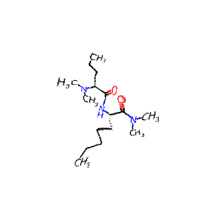 CCCCC[C@H](NC(=O)[C@H](CCC)N(C)C)C(=O)N(C)C